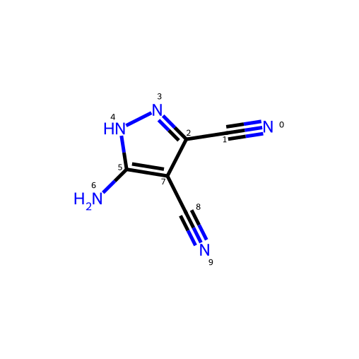 N#Cc1n[nH]c(N)c1C#N